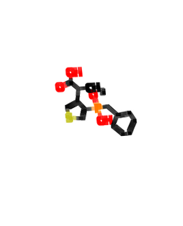 CC(C(=O)O)c1cscc1P(=O)(O)Cc1ccccc1